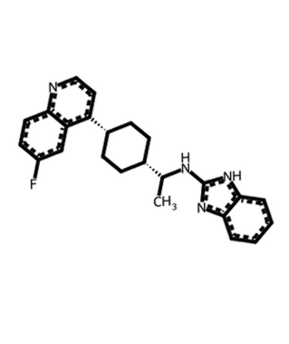 CC(Nc1nc2ccccc2[nH]1)[C@H]1CC[C@@H](c2ccnc3ccc(F)cc32)CC1